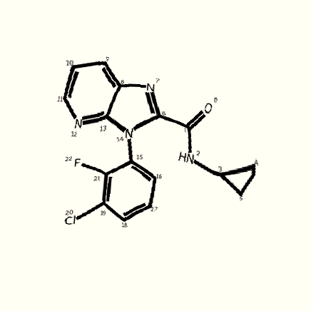 O=C(NC1CC1)c1nc2cccnc2n1-c1cccc(Cl)c1F